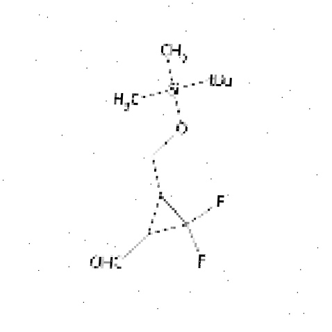 CC(C)(C)[Si](C)(C)OCC1C(C=O)C1(F)F